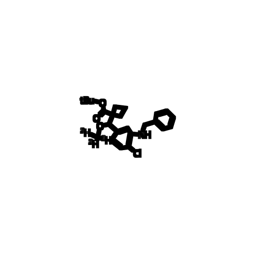 [2H]C([2H])([2H])OC(c1ccc(Cl)c(NCc2ccccc2)c1)C1(C(=O)OC(C)(C)C)CCC1